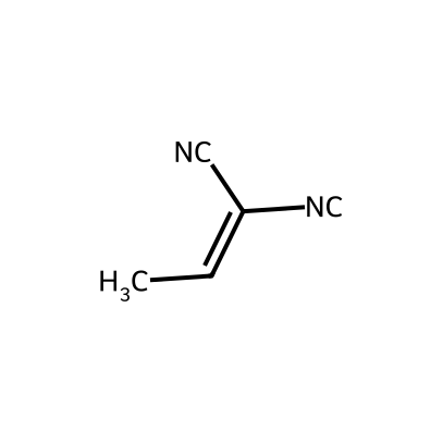 [C-]#[N+]C(C#N)=CC